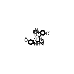 COc1ccc(-n2nccn2)c(C(=O)N2CC3CC3C2c2nc3cc(OC)ccc3[nH]2)c1